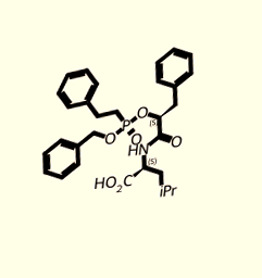 CC(C)C[C@H](NC(=O)[C@H](Cc1ccccc1)OP(=O)(CCc1ccccc1)OCc1ccccc1)C(=O)O